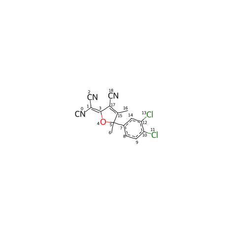 [C-]#[N+]/C(C#N)=C1\OC(C)(c2ccc(Cl)c(Cl)c2)C(C)=C1C#N